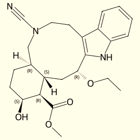 CCO[C@@H]1C[C@H]2[C@@H](CC[C@H](O)[C@@H]2C(=O)OC)CN(C#N)CCc2c1[nH]c1ccccc21